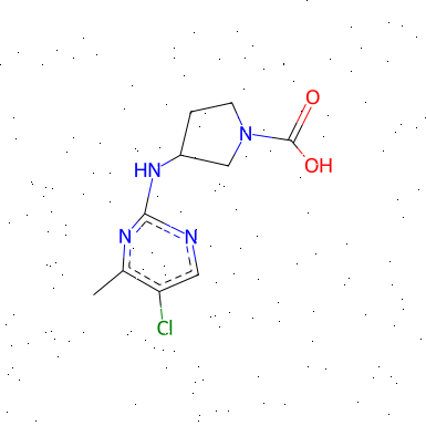 Cc1nc(NC2CCN(C(=O)O)C2)ncc1Cl